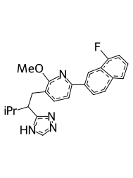 COc1nc(-c2ccc3cccc(F)c3c2)ccc1CC(c1nnc[nH]1)C(C)C